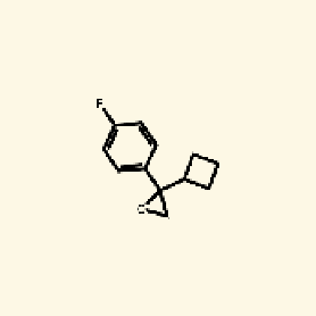 Fc1ccc(C2(C3CCC3)CO2)cc1